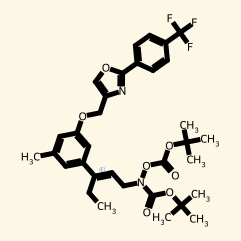 CC/C(=C\CN(OC(=O)OC(C)(C)C)C(=O)OC(C)(C)C)c1cc(C)cc(OCc2coc(-c3ccc(C(F)(F)F)cc3)n2)c1